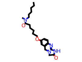 CCCCCCN(C)C(=O)CCCCCOc1ccc2c(c1)CN1CC(=O)NC1=N2